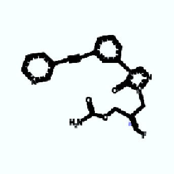 NC(=O)OC/C(=C/F)Cn1ncn(-c2cccc(C#Cc3cccnc3)c2)c1=O